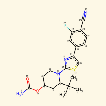 CC(C)(C)C1CC(OC(N)=O)CCN1c1nc(-c2ccc(C#N)c(F)c2)cs1